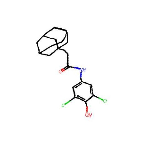 O=C(CC12CC3CC(CC(C3)C1)C2)Nc1cc(Cl)c(O)c(Cl)c1